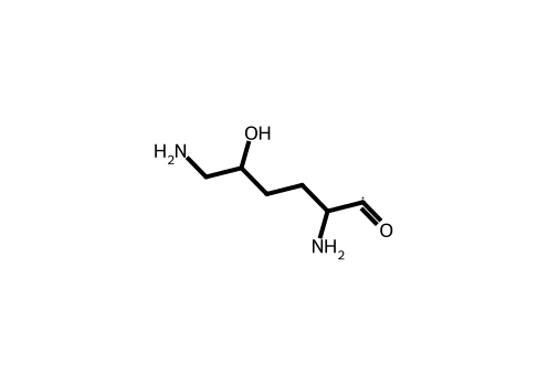 NCC(O)CCC(N)[C]=O